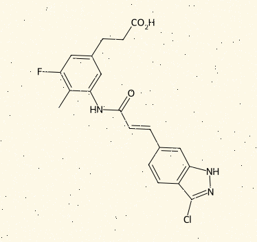 Cc1c(F)cc(CCC(=O)O)cc1NC(=O)/C=C/c1ccc2c(Cl)n[nH]c2c1